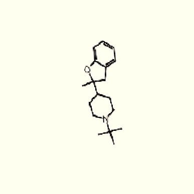 CC1(C2CCN(C(C)(C)C)CC2)Cc2ccccc2O1